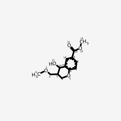 COCC1COc2ccc(C(=O)OC)cc2C1O